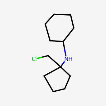 ClCC1(NC2CCCCC2)CCCC1